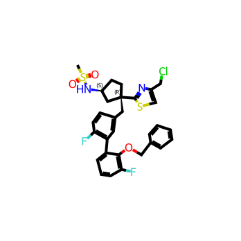 CS(=O)(=O)N[C@H]1CC[C@](Cc2ccc(F)c(-c3cccc(F)c3OCc3ccccc3)c2)(c2nc(CCl)cs2)C1